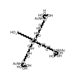 CC(=O)NC1C(O)[C@H](O)C(CO)O[C@H]1OCCCCC(=O)CNCCCNC(=O)CCOCC(COCCC(=O)NCCCNCC(=O)CCCCO[C@@H]1OC(CO)[C@@H](O)C(O)C1NC(C)=O)(COCCC(=O)NCCCNC(=O)CCCCO[C@@H]1OC(CO)[C@@H](O)C(O)C1NC(C)=O)NC(=O)CCCCCCCCCCC(=O)O